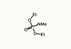 CCOP(=O)(NC)OCC